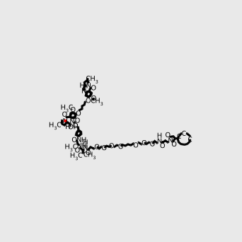 COc1cc2c(cc1OCCCCCOc1cc3c(cc1OC)C(=O)N1C=C(C)C[C@H]1[C@H](O)N3C(=O)OCc1ccc(NC(=O)C(C)NC(=O)[C@@H](NC(=O)CCOCCOCCOCCOCCCCCOCCOCCOCCNC(=O)CCN3C(=O)CC(C4CCCCCCCCCCC4)C3=O)C(C)C)cc1)N=C[C@@H]1CC(C)=CN1C2=O